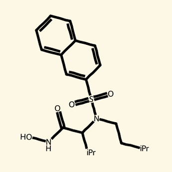 CC(C)CCN(C(C(=O)NO)C(C)C)S(=O)(=O)c1ccc2ccccc2c1